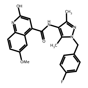 COc1ccc2nc(O)cc(C(=O)Nc3c(C)nn(Cc4ccc(F)cc4)c3C)c2c1